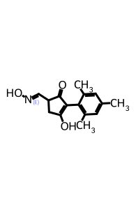 Cc1cc(C)c(C2=C(O)CC(/C=N/O)C2=O)c(C)c1